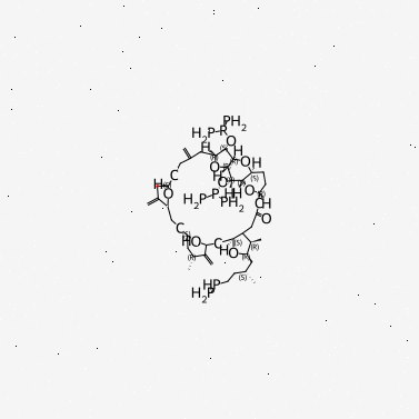 C=C1CC[C@H]2CC(=C)C(CC[C@H]3C[C@@H](C)C(=C)C(C[C@@H]4O[C@H](C[C@H](C)CCPP)[C@H](C)C4CC(=O)C[C@H]4CC[C@@H]5O[C@@H]6[C@@H](O[C@H](C1)[C@@H]6OP(P)P)[C@@H](OP(P)P)[C@H]5O4)O3)O2